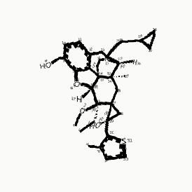 CC[C@]1(OC)[C@@H]2Oc3c(O)ccc4c3[C@@]23CCN(CC2CC2)[C@H](C4)[C@@]3(C)CC12C[C@@]2(O)c1sccc1C